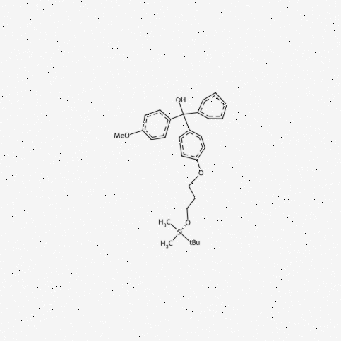 COc1ccc(C(O)(c2ccccc2)c2ccc(OCCCO[Si](C)(C)C(C)(C)C)cc2)cc1